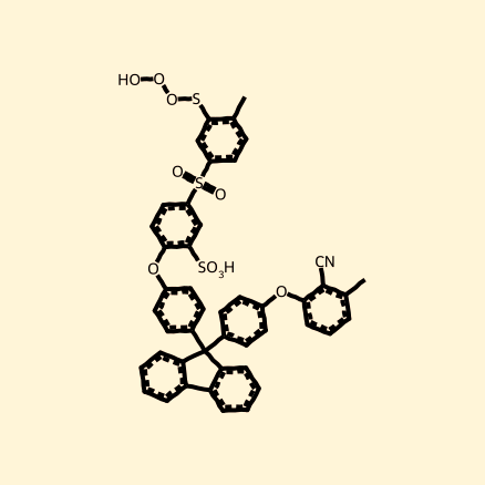 Cc1ccc(S(=O)(=O)c2ccc(Oc3ccc(C4(c5ccc(Oc6cccc(C)c6C#N)cc5)c5ccccc5-c5ccccc54)cc3)c(S(=O)(=O)O)c2)cc1SOOO